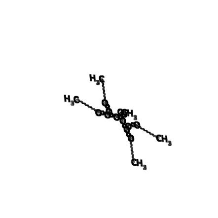 CCCCCCCCCCCCCCOc1ccc(COc2ccc(COc3cc(OCc4ccc(OCc5ccc(OCCCCCCCCCCCCCC)cc5)c(OCc5ccc(OCCCCCCCCCCCCCC)cc5)c4)cc(C(=O)OC)c3)cc2OCc2ccc(OCCCCCCCCCCCCCC)cc2)cc1